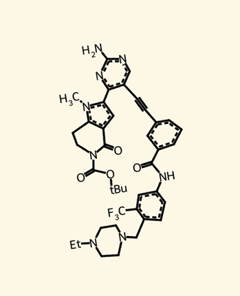 CCN1CCN(Cc2ccc(NC(=O)c3cccc(C#Cc4cnc(N)nc4-c4cc5c(n4C)CCN(C(=O)OC(C)(C)C)C5=O)c3)cc2C(F)(F)F)CC1